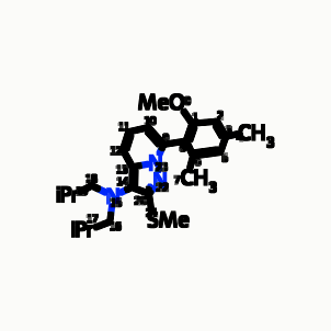 COc1cc(C)cc(C)c1-c1cccc2c(N(CC(C)C)CC(C)C)c(SC)nn12